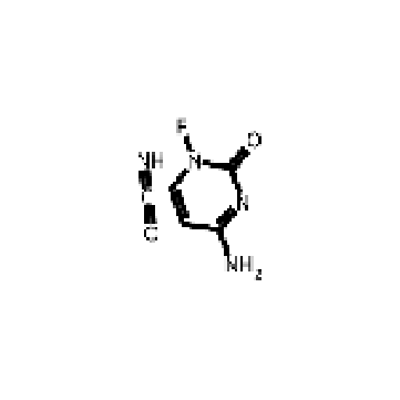 N=C=O.Nc1ccn(F)c(=O)n1